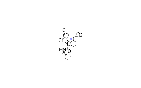 C[C@@H](NC(=O)c1nn(-c2ccc(Cl)cc2Cl)c2c1CCC/C2=C\c1ccoc1)C1CCCCC1